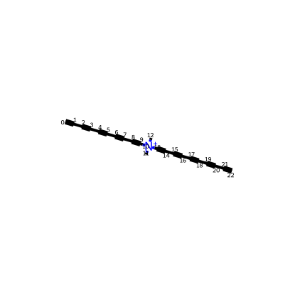 C#CC#CC#CC#CC#C[N+](C)(C)C#CC#CC#CC#CC#C